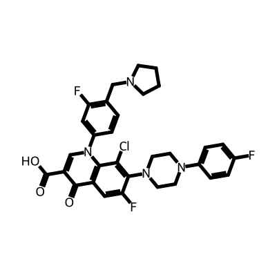 O=C(O)c1cn(-c2ccc(CN3CCCC3)c(F)c2)c2c(Cl)c(N3CCN(c4ccc(F)cc4)CC3)c(F)cc2c1=O